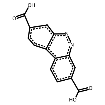 O=C(O)c1ccc2c(c1)nnc1cc(C(=O)O)ccc12